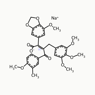 COc1ccc(C(=O)/C(Cc2cc(OC)c(OC)c(OC)c2)=C(\C(=O)[O-])c2cc(OC)c3c(c2)OCO3)cc1C.[Na+]